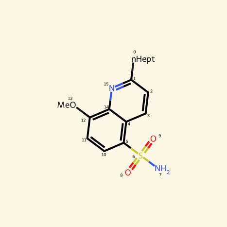 CCCCCCCc1ccc2c(S(N)(=O)=O)ccc(OC)c2n1